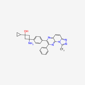 NC1(c2ccc(-c3nc4ccc5nnc(C(F)(F)F)n5c4nc3-c3ccccc3)cc2)CC(O)(C2CC2)C1